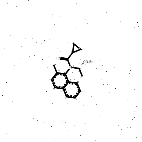 CCOC(=O)[C@H](C)N(C(=O)C1CC1)c1c(C)ccc2ccccc12